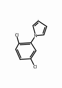 Clc1ccc(Cl)c(-n2c[c]cc2)c1